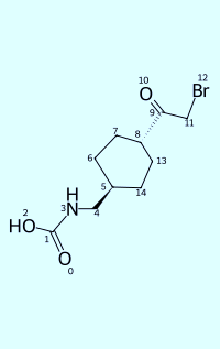 O=C(O)NC[C@H]1CC[C@H](C(=O)CBr)CC1